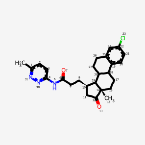 Cc1ccc(NC(=O)CC[C@@H]2CC(=O)[C@@]3(C)CCC4c5ccc(Cl)cc5CCC4C23)nn1